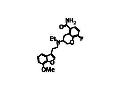 CCN(CCc1coc2c(OC)cccc12)C1COc2c(F)ccc(C(N)=O)c2C1